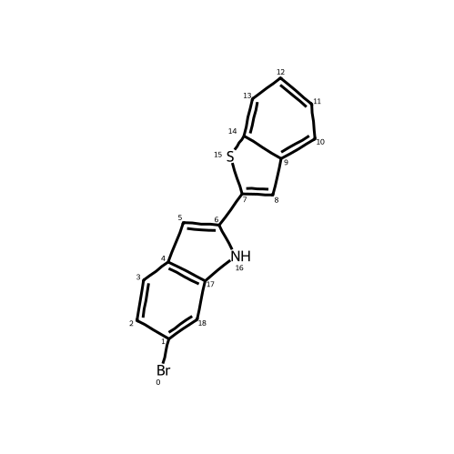 Brc1ccc2cc(-c3cc4ccccc4s3)[nH]c2c1